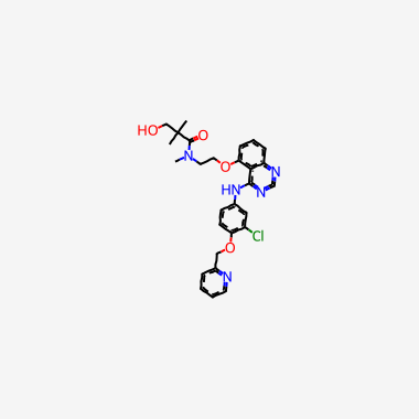 CN(CCOc1cccc2ncnc(Nc3ccc(OCc4ccccn4)c(Cl)c3)c12)C(=O)C(C)(C)CO